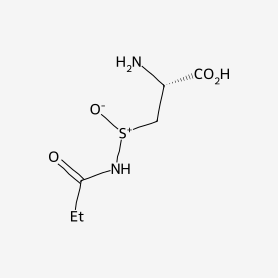 CCC(=O)N[S+]([O-])C[C@H](N)C(=O)O